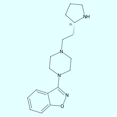 c1ccc2c(N3CCN(CC[C@@H]4CCCN4)CC3)noc2c1